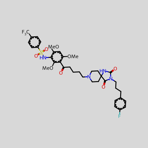 COc1cc(OC)c(C(=O)CCCCN2CCC3(CC2)NC(=O)N(CCCc2ccc(F)cc2)C3=O)c(OC)c1NS(=O)(=O)c1ccc(C(F)(F)F)cc1